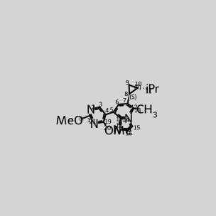 COc1ncc(-c2cc([C@H]3C[C@@H]3C(C)C)c(C)n3ccnc23)c(OC)n1